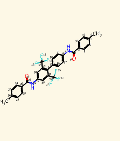 Cc1ccc(C(=O)Nc2ccc(-c3c(C(F)(F)F)cc(NC(=O)c4ccc(C)cc4)cc3C(F)(F)F)cc2)cc1